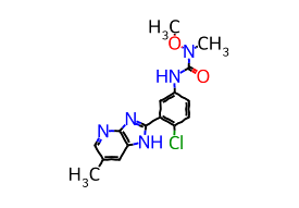 CON(C)C(=O)Nc1ccc(Cl)c(-c2nc3ncc(C)cc3[nH]2)c1